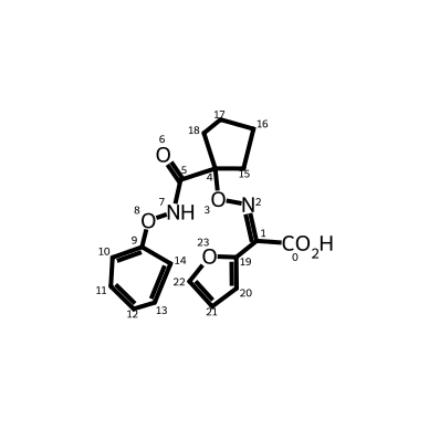 O=C(O)C(=NOC1(C(=O)NOc2ccccc2)CCCC1)c1ccco1